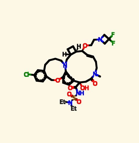 CCN(CC)S(=O)(=O)NC(=O)[C@@]1(O)CC(=O)N(C)CC/C=C/[C@H](OCCN2CC(F)(F)C2)[C@@H]2CC[C@H]2CN2CCCCc3cc(Cl)ccc3COc3ccc1cc32